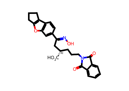 O=C(O)[C@@H](CCCN1C(=O)c2ccccc2C1=O)CC(=NO)c1ccc2c3c(oc2c1)CCC3